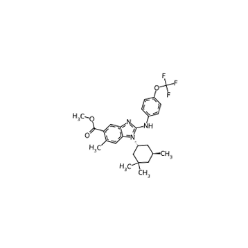 COC(=O)c1cc2nc(Nc3ccc(OC(F)(F)F)cc3)n([C@@H]3C[C@@H](C)CC(C)(C)C3)c2cc1C